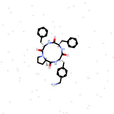 NCc1ccc(C[C@@H]2NC(=O)[C@H]3CCCN3C(=O)[C@H](Cc3ccccc3)NC(=O)[C@@H](Cc3ccccc3)NC2=O)cc1